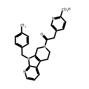 O=C(O)c1ccc(CC(=O)N2CCc3c(n(Cc4ccc(C(F)(F)F)cc4)c4ncccc34)C2)cn1